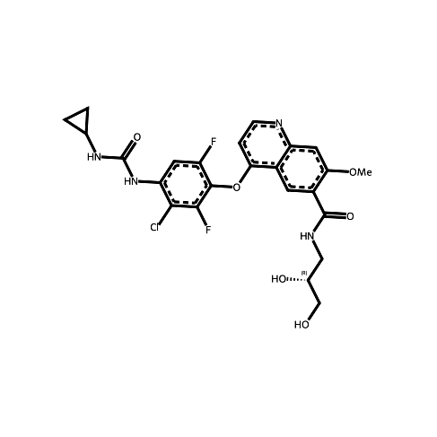 COc1cc2nccc(Oc3c(F)cc(NC(=O)NC4CC4)c(Cl)c3F)c2cc1C(=O)NC[C@@H](O)CO